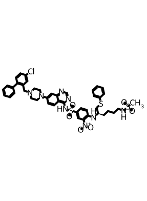 CS(=O)(=O)NCCCC[C@H](CSc1ccccc1)Nc1ccc(S(=O)(=O)Nc2ncnc3cc(N4CCN(Cc5cc(Cl)ccc5-c5ccccc5)CC4)ccc23)cc1[N+](=O)[O-]